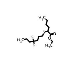 CCCCC(SCCCC(F)(F)CCC)C(=O)OCC